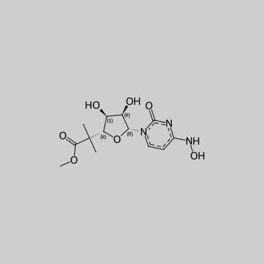 COC(=O)C(C)(C)[C@H]1O[C@@H](n2ccc(NO)nc2=O)[C@H](O)[C@@H]1O